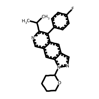 CC(C)c1ncc2cc3c(cnn3C3CCCCO3)cc2c1-c1ccc(F)cc1